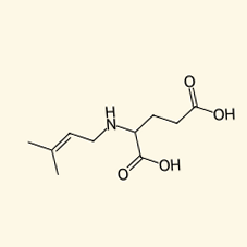 CC(C)=CCNC(CCC(=O)O)C(=O)O